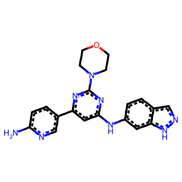 Nc1ccc(-c2cc(Nc3ccc4cn[nH]c4c3)nc(N3CCOCC3)n2)cn1